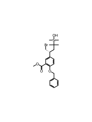 COC(=O)c1cc([C@H](CBr)CC(C)(C)[Si](C)(C)O)ccc1OCc1ccccc1